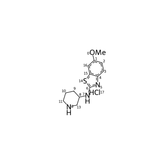 COc1ccc2nc(NC3CCCNC3)sc2c1.Cl